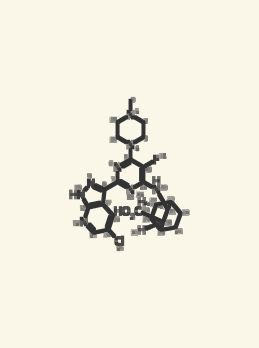 CN1CCN(c2nc(-c3n[nH]c4ncc(Cl)cc34)nc(N[C@H]3C4CCC(CC4)[C@@H]3C(=O)O)c2F)CC1